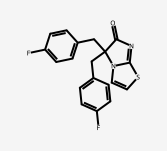 O=C1N=C2SC=CN2C1(Cc1ccc(F)cc1)Cc1ccc(F)cc1